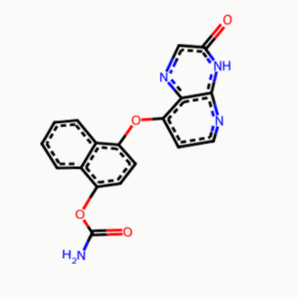 NC(=O)Oc1ccc(Oc2ccnc3[nH]c(=O)cnc23)c2ccccc12